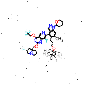 Cc1cc2c(cnn2C2CCCCO2)c(-c2ncc3c(OCC(F)(F)F)nc(OC[C@@]45CCCN4C[C@H](F)C5)nc3c2F)c1CCCO[Si](C)(C)C(C)(C)C